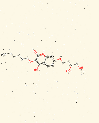 CCCCCCOc1c(O)c2ccc(OCCC(O)CO)cc2oc1=O